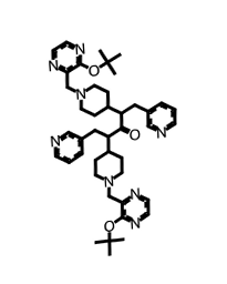 CC(C)(C)Oc1nccnc1CN1CCC(C(Cc2cccnc2)C(=O)C(Cc2cccnc2)C2CCN(Cc3nccnc3OC(C)(C)C)CC2)CC1